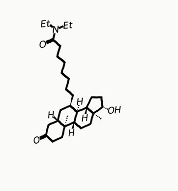 CCN(CC)C(=O)CCCCCCC[C@@H]1C[C@H]2CC(=O)CC[C@]2(C)[C@H]2CC[C@]3(C)[C@@H](O)CC[C@H]3[C@H]12